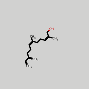 C=CC(=C)CCC=C(C)CCC=C(C)CO